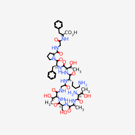 C[C@H](NC(=O)[C@@H](N)[C@@H](C)O)C(=O)N[C@@H](CO)C(=O)N[C@H](C(=O)NCC(=O)N[C@@H](CCCCN)C(=O)N[C@H](C(=O)N[C@@H](Cc1ccccc1)C(=O)N1CCC[C@H]1C(=O)NCC(=O)N[C@@H](Cc1ccccc1)C(=O)O)[C@@H](C)O)[C@@H](C)O